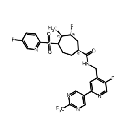 C[C@@H]1C(S(=O)(=O)c2ccc(F)cn2)CC[C@H](C(=O)NCc2cc(-c3cnc(C(F)(F)F)nc3)ncc2F)C[C@H]1F